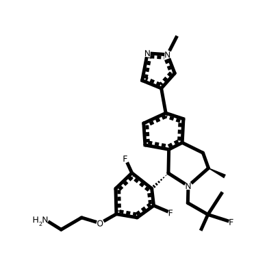 C[C@@H]1Cc2cc(-c3cnn(C)c3)ccc2[C@@H](c2c(F)cc(OCCN)cc2F)N1CC(C)(C)F